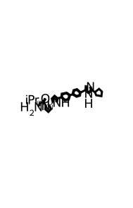 CC(C)[C@H](N)C(=O)N1CCC[C@H]1c1ccc(-c2ccc(-c3ccc(-c4cnc(C5CCCC5)[nH]4)cc3)cc2)[nH]1